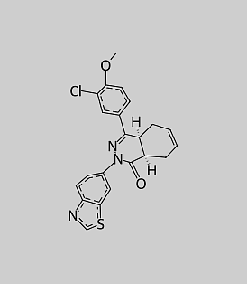 COc1ccc(C2=NN(c3ccc4ncsc4c3)C(=O)[C@@H]3CC=CC[C@H]23)cc1Cl